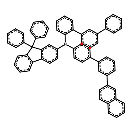 c1ccc(-c2cccc(-c3ccccc3N(c3ccc(-c4cccc(-c5ccc6ccccc6c5)c4)cc3)c3ccc4c(c3)C(c3ccccc3)(c3ccccc3)c3ccccc3-4)c2)cc1